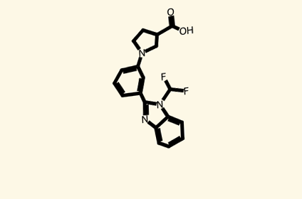 O=C(O)C1CCN(c2cccc(-c3nc4ccccc4n3C(F)F)c2)C1